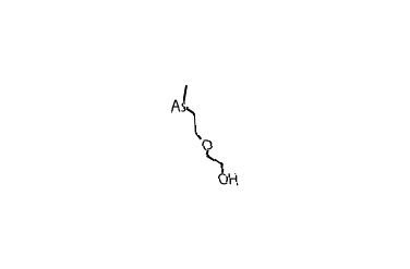 C[As](C)CCOCCO